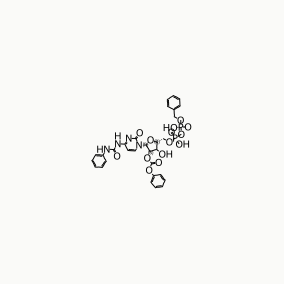 O=C(Nc1ccccc1)Nc1ccn([C@@H]2O[C@H](COP(=O)(O)OP(=O)(O)OCc3ccccc3)C(O)[C@@H]2OC(=O)Oc2ccccc2)c(=O)n1